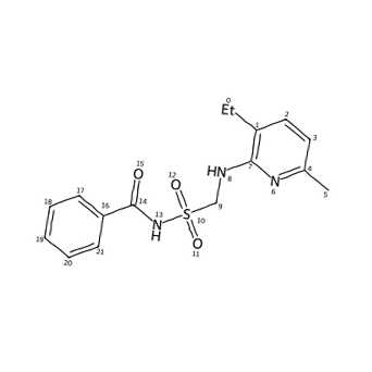 CCc1ccc(C)nc1NCS(=O)(=O)NC(=O)c1ccccc1